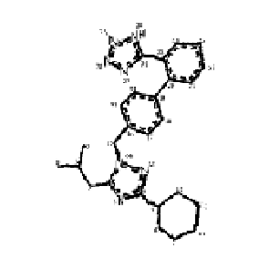 CC(C)Cc1nc(C2CCCCC2)nn1Cc1ccc(-c2ccccc2-c2nnn[nH]2)cc1